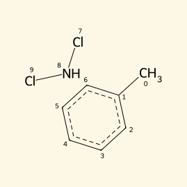 Cc1ccccc1.ClNCl